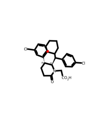 O=C(O)CN1C(=O)CC[C@H](c2cccc(Cl)c2)[C@H]1C(c1ccc(Cl)cc1)C1CCCCC1